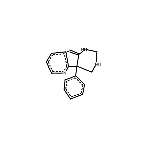 O=C1NCNCC1(c1ccccc1)c1ccccn1